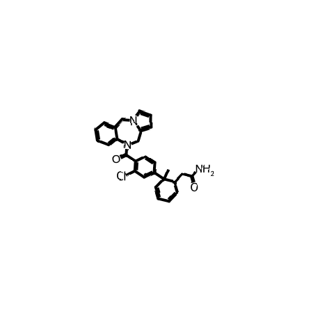 CC1(c2ccc(C(=O)N3Cc4cccn4Cc4ccccc43)c(Cl)c2)C=CC=CC1CC(N)=O